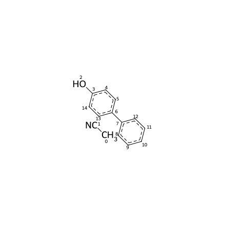 CC#N.Oc1ccc(-c2ccccc2)cc1